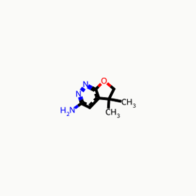 CC1(C)COc2nnc(N)cc21